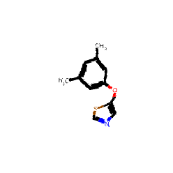 Cc1cc(C)cc(Oc2cn[c]s2)c1